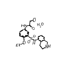 CCOc1ccc(NC(=O)CCl)cc1S(=O)(=O)Nc1cccc2c1CCNC2.O